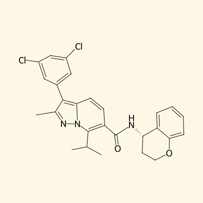 Cc1nn2c(C(C)C)c(C(=O)N[C@H]3CCOc4ccccc43)ccc2c1-c1cc(Cl)cc(Cl)c1